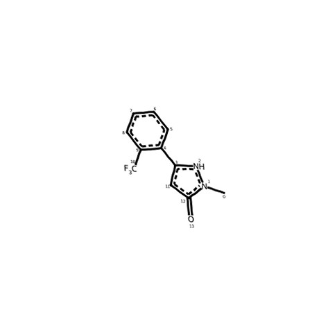 Cn1[nH]c(-c2ccccc2C(F)(F)F)cc1=O